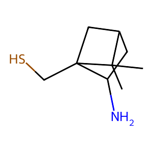 CC1(C)C2CC(N)C1(CS)C2